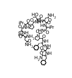 CC(C)C[C@H](NC(=O)[C@@H](N)CC(N)=O)C(=O)N[C@H](C(=O)N1CCCC1C(=O)N[C@H](C(=O)N[C@@H](CC(N)=O)C(=O)N[C@H](C(=O)NCC(=O)N1CCCC1C(=O)N[C@@H](Cc1ccccc1)C(=O)N[C@@H](C)C(=O)N[C@@H](Cc1ccccc1)C(N)=O)C(C)C)C(C)O)C(C)C